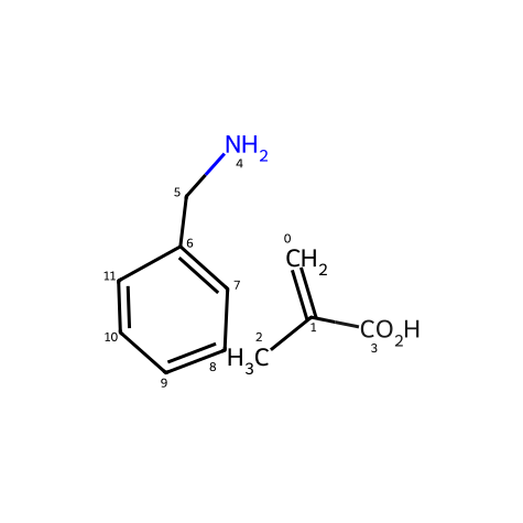 C=C(C)C(=O)O.NCc1ccccc1